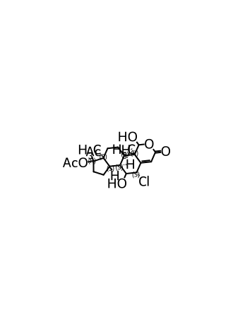 CC(=O)O[C@]1(C(C)=O)CC[C@H]2[C@@H]3C(O)[C@@H](Cl)C4=CC(=O)OC(O)[C@]4(C)[C@H]3CC[C@@]21C